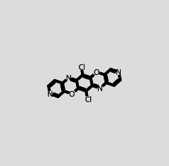 Clc1c2c(c(Cl)c3c1=Nc1ccncc1O3)=Nc1ccncc1O2